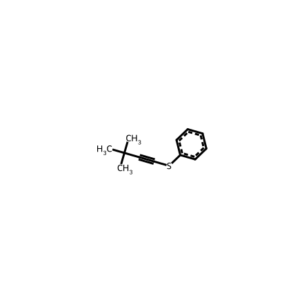 CC(C)(C)C#CSc1ccccc1